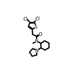 CN(C(=O)Cc1cc(Cl)c(Cl)s1)C1CCCCC1N1CCCC1